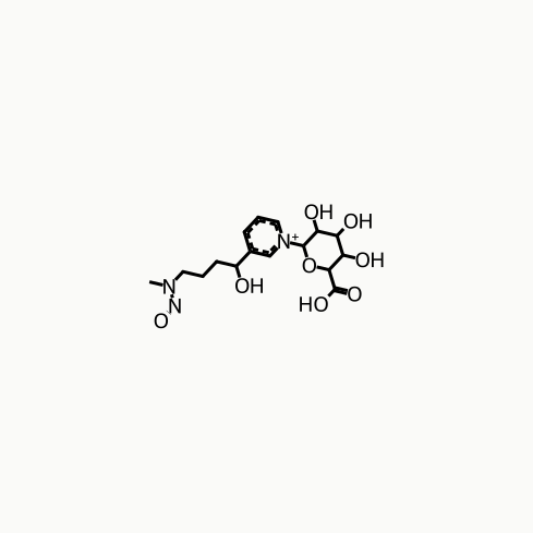 CN(CCCC(O)c1ccc[n+](C2OC(C(=O)O)C(O)C(O)C2O)c1)N=O